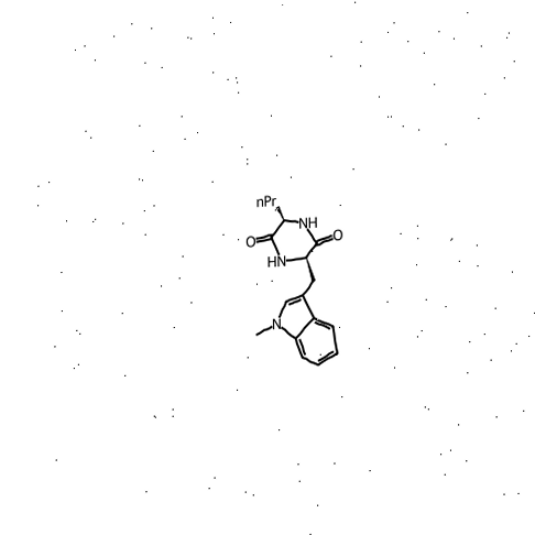 CCC[C@H]1NC(=O)[C@@H](Cc2cn(C)c3ccccc23)NC1=O